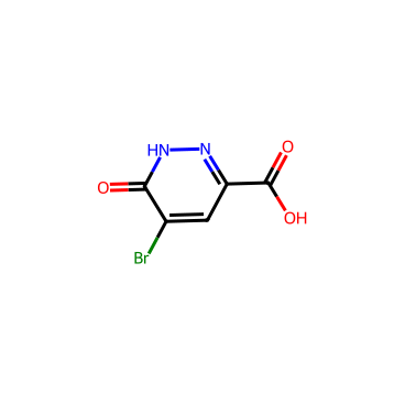 O=C(O)c1cc(Br)c(=O)[nH]n1